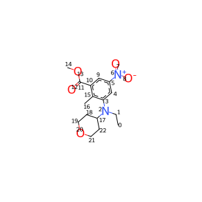 CCN(c1cc([N+](=O)[O-])cc(C(=O)OC)c1C)C1CCOCC1